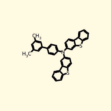 Cc1cc(C)cc(-c2ccc(N(c3ccc4c(c3)sc3ccccc34)c3ccc4sc5ccccc5c4c3)cc2)c1